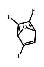 Fc1c(F)c2oc1cc2F